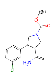 C=C(N)C1CN(C(=O)OC(C)(C)C)CC1c1cccc(Cl)c1